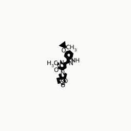 Cn1nc(-c2n[nH]c3ccc(OC4(C)CC4)cc23)cc(N2CCC3(CCS3(=O)=O)C2)c1=O